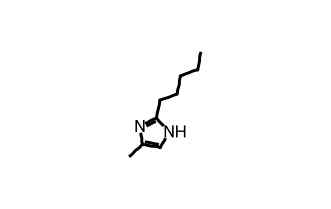 CCCCCc1nc(C)c[nH]1